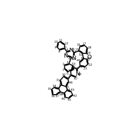 c1ccc(-c2nc(-c3ccccc3)nc(-c3cccc4oc5ccc(-c6ccc(-c7ccc8c9ccccc9c9ccccc9c8c7)cn6)cc5c34)n2)cc1